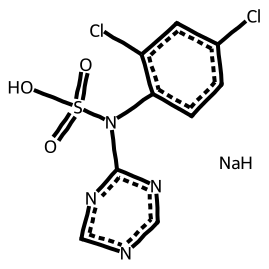 O=S(=O)(O)N(c1ncncn1)c1ccc(Cl)cc1Cl.[NaH]